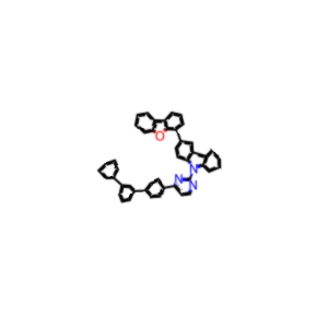 c1ccc(-c2cccc(-c3ccc(-c4ccnc(-n5c6ccccc6c6cc(-c7cccc8c7oc7ccccc78)ccc65)n4)cc3)c2)cc1